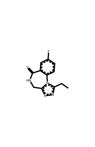 CCc1nnc2n1-c1ccc(F)cc1C(=S)NC2